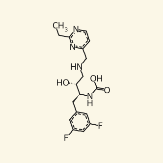 CCc1nccc(CNC[C@@H](O)[C@H](Cc2cc(F)cc(F)c2)NC(=O)O)n1